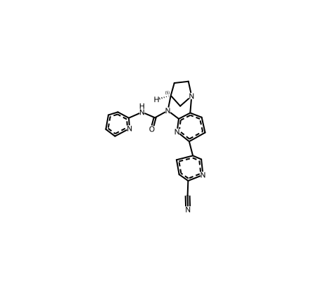 N#Cc1ccc(-c2ccc3c(n2)N(C(=O)Nc2ccccn2)[C@H]2CCN3C2)cn1